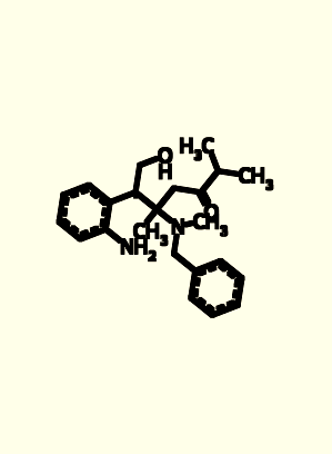 CC(C)C(=O)CC(C)([C](CO)c1ccccc1N)N(C)Cc1ccccc1